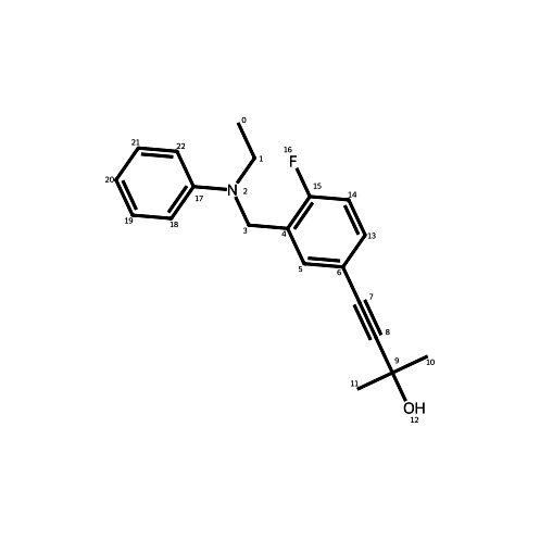 CCN(Cc1cc(C#CC(C)(C)O)ccc1F)c1ccccc1